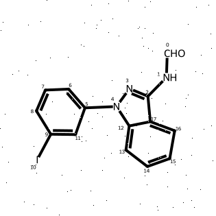 O=CNc1nn(-c2cccc(I)c2)c2ccccc12